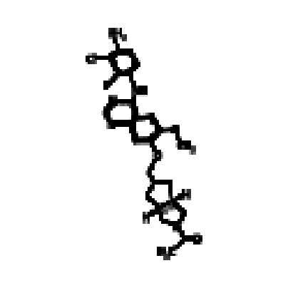 Bc1ccc(Nc2ncnc3cc(OCC4C[C@@H]5CN(C(C)=O)C[C@@H]5C4)c(OC)cc23)c(F)c1Cl